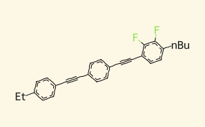 CCCCc1ccc(C#Cc2ccc(C#Cc3ccc(CC)cc3)cc2)c(F)c1F